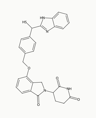 O=C1CCC(N2Cc3c(OCc4ccc(C(S)c5nc6ccccc6[nH]5)cc4)cccc3C2=O)C(=O)N1